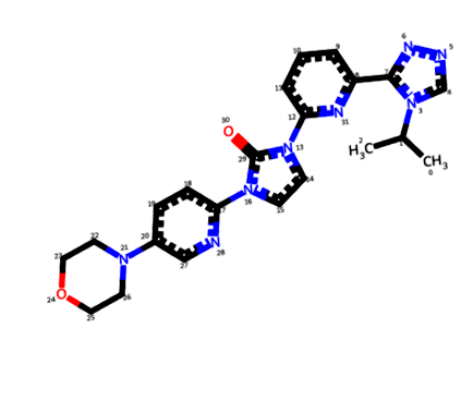 CC(C)n1cnnc1-c1cccc(-n2ccn(-c3ccc(N4CCOCC4)cn3)c2=O)n1